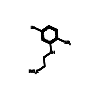 CCOC(=O)CCNc1cc(Br)ccc1[N+](=O)[O-]